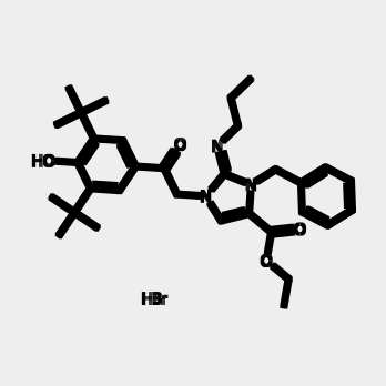 Br.CCCN=c1n(CC(=O)c2cc(C(C)(C)C)c(O)c(C(C)(C)C)c2)cc(C(=O)OCC)n1Cc1ccccc1